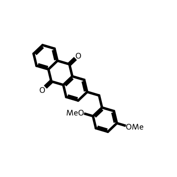 COc1ccc(OC)c(Cc2ccc3c(c2)C(=O)c2ccccc2C3=O)c1